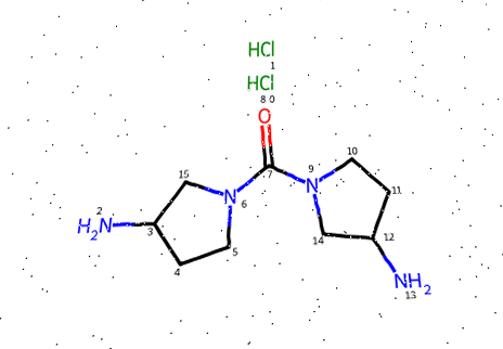 Cl.Cl.NC1CCN(C(=O)N2CCC(N)C2)C1